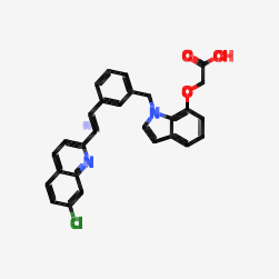 O=C(O)COc1cccc2ccn(Cc3cccc(/C=C/c4ccc5ccc(Cl)cc5n4)c3)c12